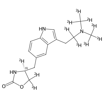 [2H]C([2H])([2H])N(C([2H])([2H])[2H])C([2H])([2H])Cc1c[nH]c2ccc(C[C@]3([2H])NC(=O)OC3([2H])[2H])cc12